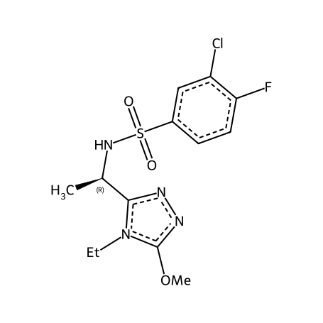 CCn1c(OC)nnc1[C@@H](C)NS(=O)(=O)c1ccc(F)c(Cl)c1